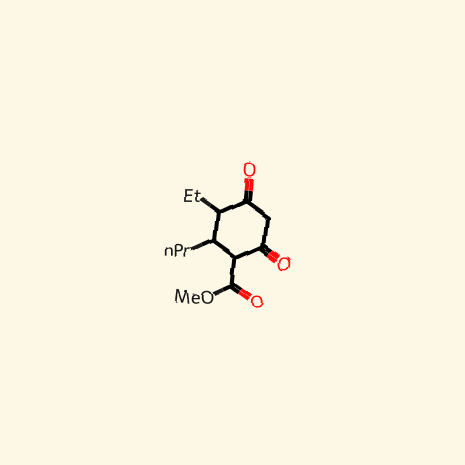 CCCC1C(CC)C(=O)CC(=O)C1C(=O)OC